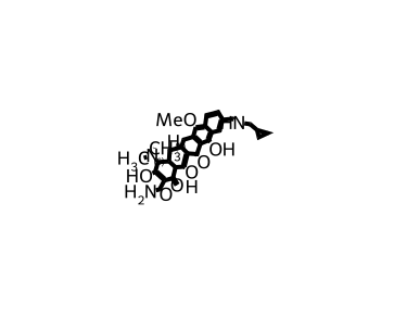 COc1c2c(c(O)c3cc(CNCC4CC4)ccc13)C(=O)C1=C(O)C3C(=O)C(C(N)=O)=C(O)[C@@H](N(C)C)C3C[C@@H]1C2